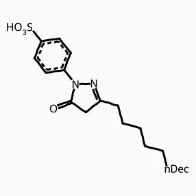 CCCCCCCCCCCCCCCC1=NN(c2ccc(S(=O)(=O)O)cc2)C(=O)C1